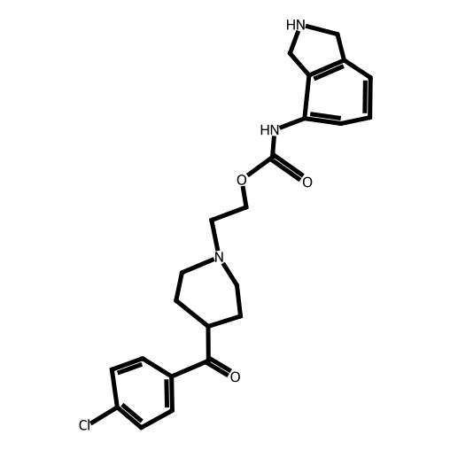 O=C(Nc1cccc2c1CNC2)OCCN1CCC(C(=O)c2ccc(Cl)cc2)CC1